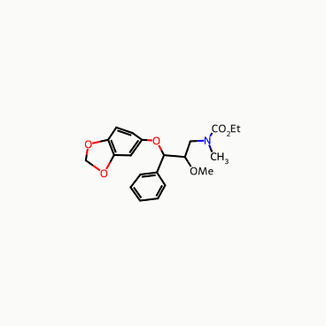 CCOC(=O)N(C)CC(OC)C(Oc1ccc2c(c1)OCO2)c1ccccc1